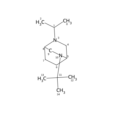 CC(C)N1CC2CCC1CN2C(C)(C)C